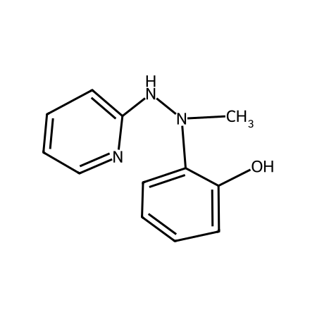 CN(Nc1ccccn1)c1ccccc1O